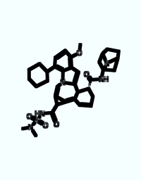 COc1ccc(C2CCCCC2)c2c1cc1n2C=C2C(=C3C=CC[C@@H](C(=O)NC4CC5CCC(C4)N5C)C31)C2C(=O)NS(=O)(=O)N(C)C